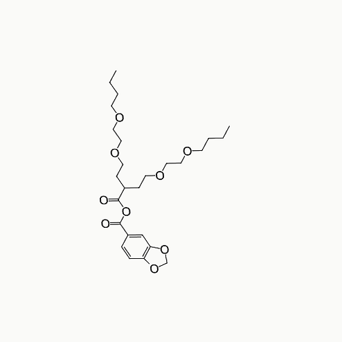 CCCCOCCOCCC(CCOCCOCCCC)C(=O)OC(=O)c1ccc2c(c1)OCO2